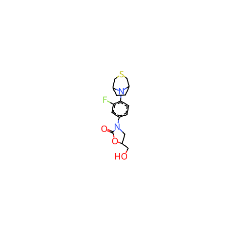 O=C1OC(CO)CN1c1ccc(N2C3CCC2CSC3)c(F)c1